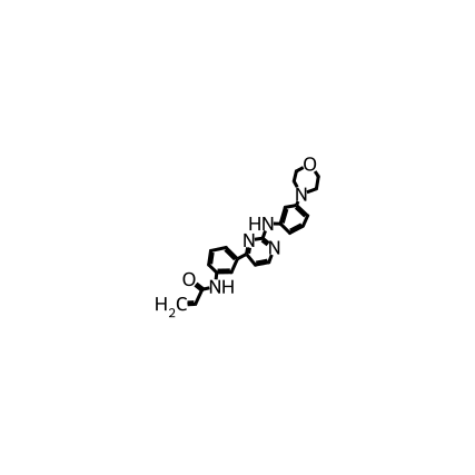 C=CC(=O)Nc1cccc(-c2ccnc(Nc3cccc(N4CCOCC4)c3)n2)c1